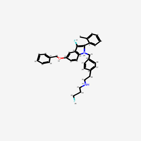 Cc1ccccc1-c1c(F)c2cc(OCc3ccccc3)ccc2n1Cc1ccc(CCNCCCF)cc1